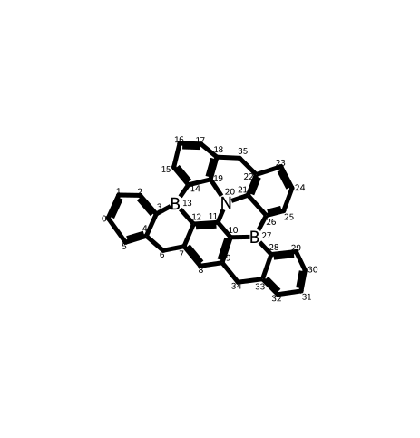 c1ccc2c(c1)Cc1cc3c4c5c1B2c1cccc2c1N5c1c(cccc1B4c1ccccc1C3)C2